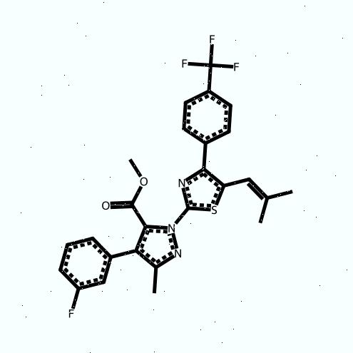 COC(=O)c1c(-c2cccc(F)c2)c(C)nn1-c1nc(-c2ccc(C(F)(F)F)cc2)c(C=C(C)C)s1